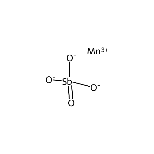 [Mn+3].[O]=[Sb]([O-])([O-])[O-]